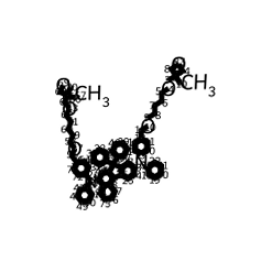 CCC1(COCCCCCOCc2ccc(N(c3ccccc3)c3ccc4c(c3)C(c3ccccc3)(c3ccccc3)c3cc(N(c5ccccc5)c5ccc(COCCCCCOCC6(CC)COC6)cc5)c5ccccc5c3-4)cc2)COC1